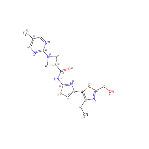 N#CCc1nc(CO)sc1-c1csc(NC(=O)C2CN(c3ncc(C(F)(F)F)cn3)C2)n1